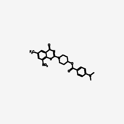 CN(C)c1ccc(C(=O)OC2CCN(c3nc(=O)c4cc(C(F)(F)F)cc([N+](=O)[O-])c4s3)CC2)cc1